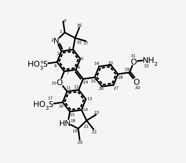 CC1N=c2c(cc3c(c2S(=O)(=O)O)Oc2c(cc4c(c2S(=O)(=O)O)NC(C)C4(C)C)C=3c2ccc(C(=O)ON)cc2)C1(C)C